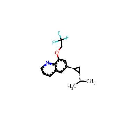 CC(C)[C@H]1C[C@@H]1c1cc(OCC(F)(F)F)c2ncccc2c1